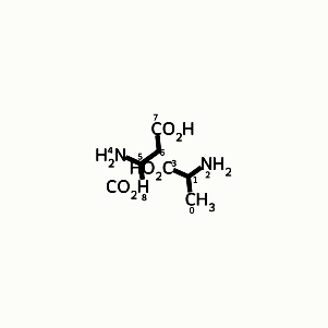 CC(N)C(=O)O.NC(CC(=O)O)C(=O)O